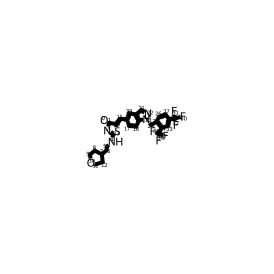 O=C1N=C(NCCC2CCOCC2)S/C1=C\c1ccc2c(cnn2Cc2ccc(C(F)(F)F)cc2C(F)(F)F)c1